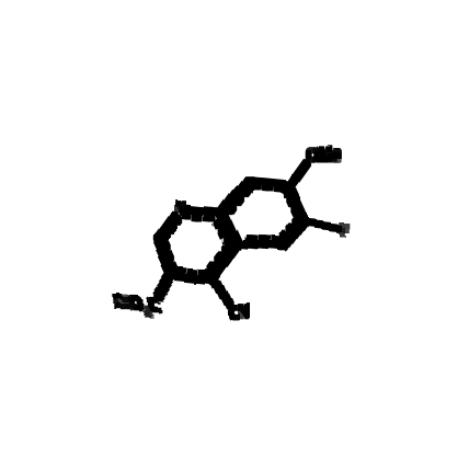 CCOC(=O)c1cnc2cc(OC)c(F)cc2c1C#N